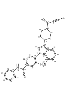 CC#CC(=O)N1CCC(n2nc(-c3ccc(C(=O)Nc4ccccn4)cc3)c3c(N)ncnc32)CC1